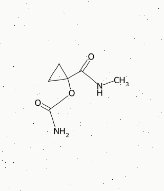 CNC(=O)C1(OC(N)=O)CC1